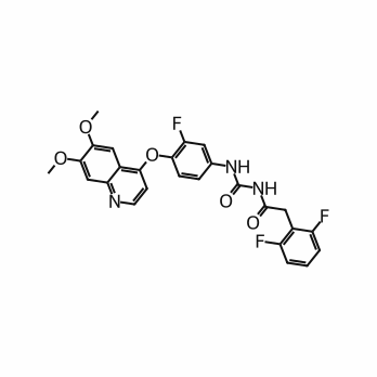 COc1cc2nccc(Oc3ccc(NC(=O)NC(=O)Cc4c(F)cccc4F)cc3F)c2cc1OC